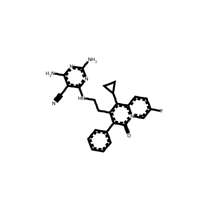 N#Cc1c(N)nc(N)nc1NCCc1c(-c2ccccc2)c(=O)n2cc(F)ccc2c1C1CC1